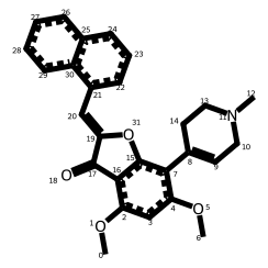 COc1cc(OC)c(C2=CCN(C)CC2)c2c1C(=O)/C(=C/c1cccc3ccccc13)O2